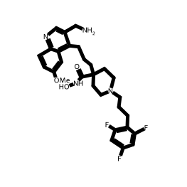 COc1ccc2ncc(CN)c(CCCC3(C(=O)NO)CCN(CCCc4c(F)cc(F)cc4F)CC3)c2c1